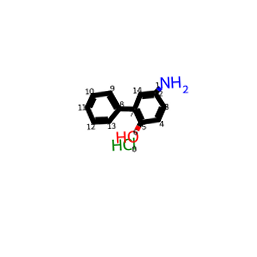 Cl.Nc1ccc(O)c(-c2ccccc2)c1